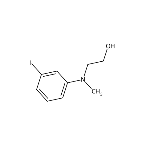 CN(CCO)c1cccc(I)c1